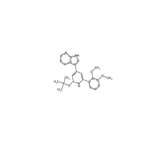 COc1cccc(C2=CC(c3c[nH]c4ncccc34)=CC(OC(C)(C)C)N2)c1OC